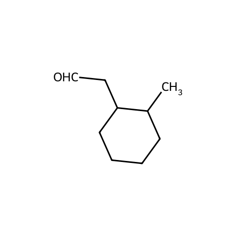 CC1CCCCC1CC=O